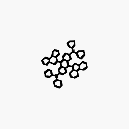 C1=CC2=c3ccccc3=C(c3c4cc(N(c5ccccc5)c5ccccc5)ccc4c(-c4cc5ccccc5c5ccccc45)c4cc(N(c5ccccc5)c5ccccc5)ccc34)CC2C=C1